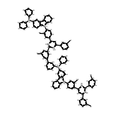 Cc1cccc(-c2cc(-c3ccc(-n4c5ccccc5c5cc(N(c6ccccc6)c6ccccc6)ccc54)c(C)c3)nc(-c3cc(C)cc(-c4cccc(N(c5ccccc5)c5ccc6c(c5)c5ccccc5n6-c5ccc(-c6cc(-c7cccc(C)c7)nc(-c7cccc(C)c7)n6)c(C)c5)c4)c3)n2)c1